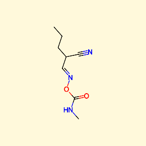 CCCC(C#N)C=NOC(=O)NC